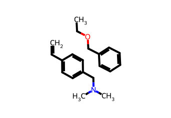 C=Cc1ccc(CN(C)C)cc1.CCOCc1ccccc1